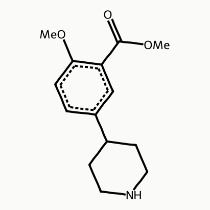 COC(=O)c1cc(C2CCNCC2)ccc1OC